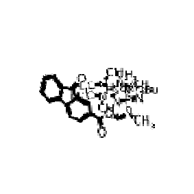 CN(C)P(=NC(C)(C)C)(N=P(N(C)C)(N(C)C)N(C)C)N(C)COC(=O)c1ccc2c(c1)C(=O)c1ccccc1-2